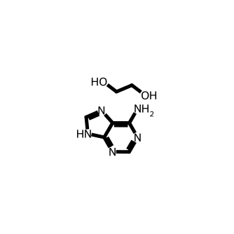 Nc1ncnc2[nH]cnc12.OCCO